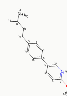 CCOc1ccc(-c2ccc(CCC(C)NC(C)=O)cc2)cn1